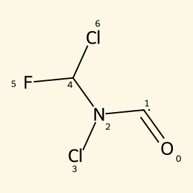 O=[C]N(Cl)C(F)Cl